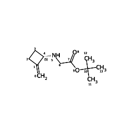 C=C1CC[C@@H]1NCC(=O)OC(C)(C)C